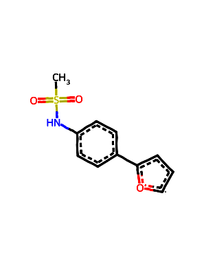 CS(=O)(=O)Nc1ccc(-c2cc[c]o2)cc1